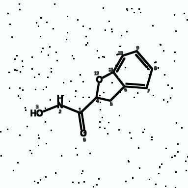 O=C(NO)C1Cc2ccccc2O1